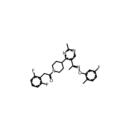 C/C(=N\Oc1cc(F)ccc1C)c1cnc(C)nc1C1CCN(C(=O)Cc2c(F)cccc2F)CC1